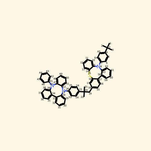 CC(C)(C)c1ccc(-n2c3ccccc3sc3cc(CC(C)(C)c4ccc(-n5c6ccccc6c6ccccc6n(-c6ccccc6)c6ccccc65)cc4)ccc3c3ccccc32)cc1